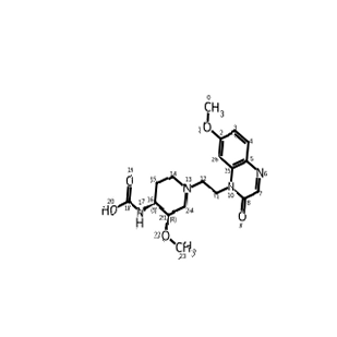 COc1ccc2ncc(=O)n(CCN3CC[C@H](NC(=O)O)[C@H](OC)C3)c2c1